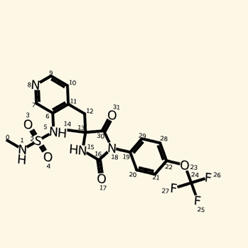 CNS(=O)(=O)Nc1cnccc1CC1(C)NC(=O)N(c2ccc(OC(F)(F)F)cc2)C1=O